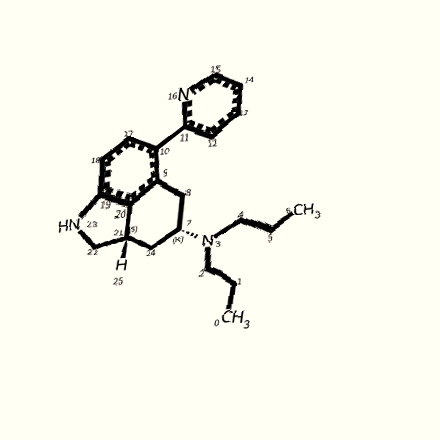 CCCN(CCC)[C@H]1Cc2c(-c3ccccn3)ccc3c2[C@@H](CN3)C1